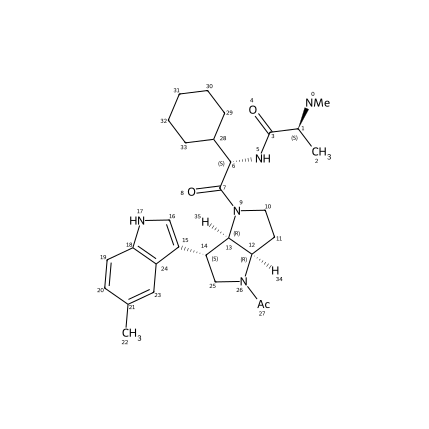 CN[C@@H](C)C(=O)N[C@H](C(=O)N1CC[C@@H]2[C@H]1[C@@H](c1c[nH]c3ccc(C)cc13)CN2C(C)=O)C1CCCCC1